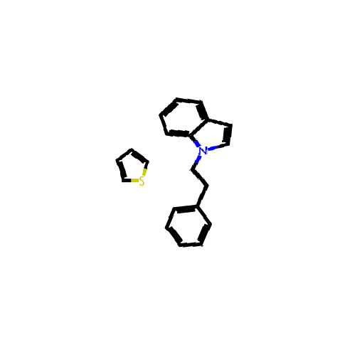 c1ccc(CCn2ccc3ccccc32)cc1.c1ccsc1